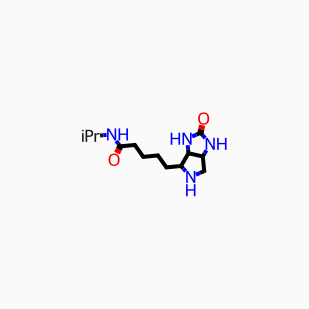 CC(C)NC(=O)CCCCC1NCC2NC(=O)NC12